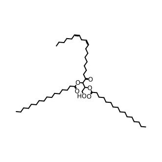 CCCCC/C=C\C/C=C\CCCCCCCC(=O)C(OC(=O)CCCCCCCCCCCCCCC)C(CO)OC(=O)CCCCCCCCCCCCCCC